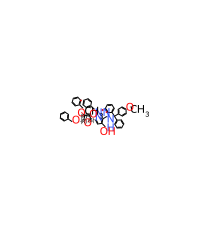 COc1ccc(C(Nc2ncnn3c([C@@H]4O[C@H](COCc5ccccc5)[C@@H](OCc5ccccc5)[C@@]4(C)OCc4ccccc4)cc(CO)c23)(c2ccccc2)c2ccccc2)cc1